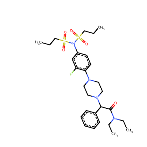 CCCS(=O)(=O)N(c1ccc(N2CCN(C(C(=O)N(CC)CC)c3ccccc3)CC2)c(F)c1)S(=O)(=O)CCC